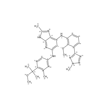 COc1c(Nc2cc(Nc3cnc(C(C)(C)OC)c(C)n3)nc3[nH]c(C)nc23)cccc1-c1nnn(C)n1